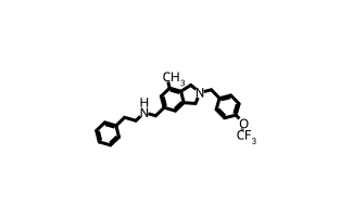 Cc1cc(CNCCc2ccccc2)cc2c1CN(Cc1ccc(OC(F)(F)F)cc1)C2